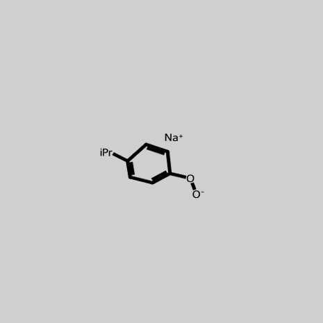 CC(C)c1ccc(O[O-])cc1.[Na+]